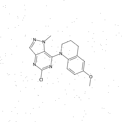 COc1ccc2c(c1)CCCN2c1nc(Cl)nc2cnn(C)c12